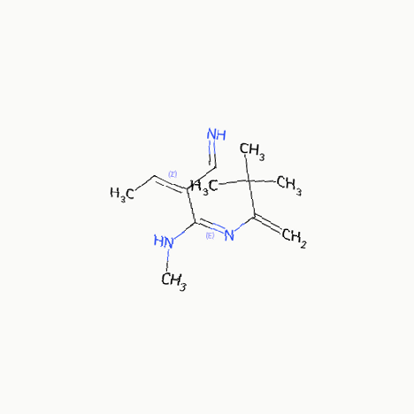 C=C(/N=C(NC)\C(C=N)=C/C)C(C)(C)C